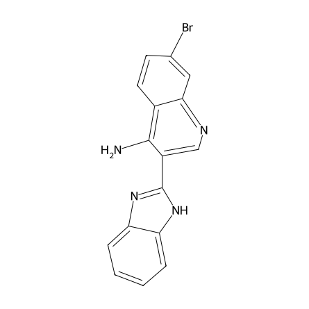 Nc1c(-c2nc3ccccc3[nH]2)cnc2cc(Br)ccc12